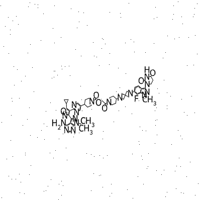 CC(C)n1nc(-c2noc(C3CC3)c2-c2ncc(C3CCN(C(=O)OCC(=O)N4CCC(N5CC6(CN(c7ccc8c(N9CCC(=O)NC9=O)nn(C)c8c7F)C6)C5)CC4)CC3)cn2)c2c(N)ncnc21